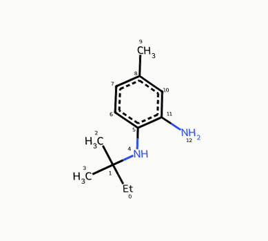 CCC(C)(C)Nc1ccc(C)cc1N